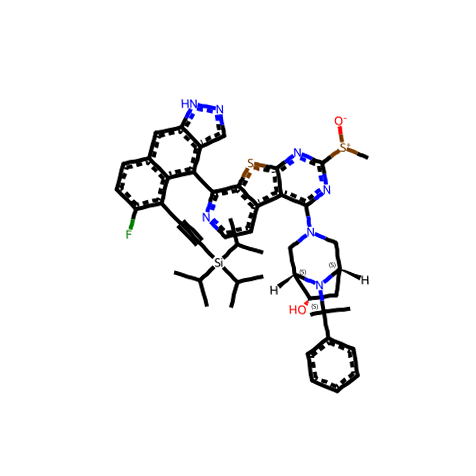 CC(C)[Si](C#Cc1c(F)ccc2cc3[nH]ncc3c(-c3nccc4c3sc3nc([S+](C)[O-])nc(N5C[C@@H]6C[C@H](O)[C@H](C5)N6C(C)(C)c5ccccc5)c34)c12)(C(C)C)C(C)C